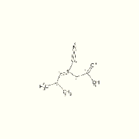 CC(C)/C=C(/C#N)CC(=O)O